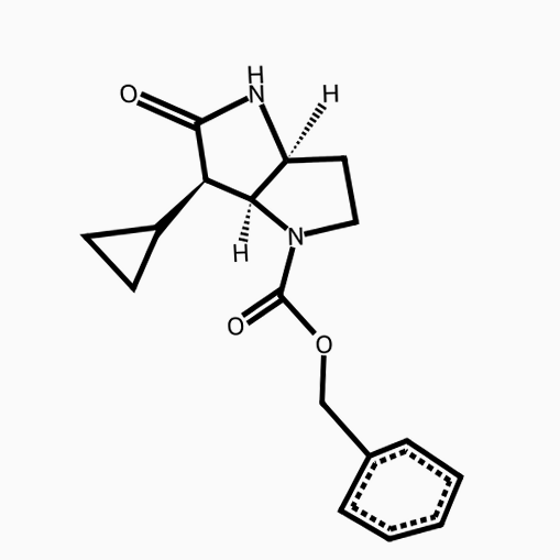 O=C1N[C@H]2CCN(C(=O)OCc3ccccc3)[C@H]2[C@H]1C1CC1